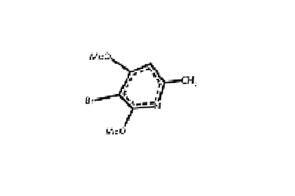 COc1cc(C)nc(OC)c1Br